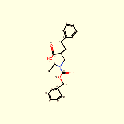 CCN(C[C@@H](CCc1ccccc1)C(=O)O)C(=O)OCc1ccccc1